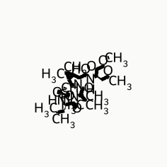 CCC[C@@H](NC(=O)C1[C@@H]2C(CN1C(=O)C(NC(=O)[C@H](CC(C)C)NS(C)(=O)=O)C(C)(C)C)C2(C)C)C(=O)C(=O)OC